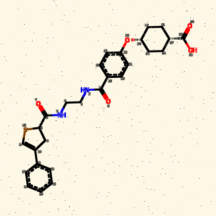 O=C(NCCNC(=O)C1CC(c2ccccc2)=CS1)c1ccc(O[C@H]2CC[C@@H](C(=O)O)CC2)cc1